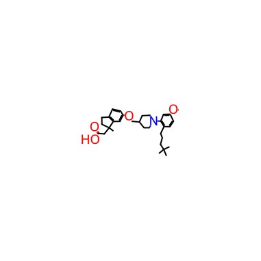 COc1ccc(CCCC(C)(C)C)c(N2CCC(COc3ccc4c(c3)C(C)(CC(=O)O)CC4)CC2)c1